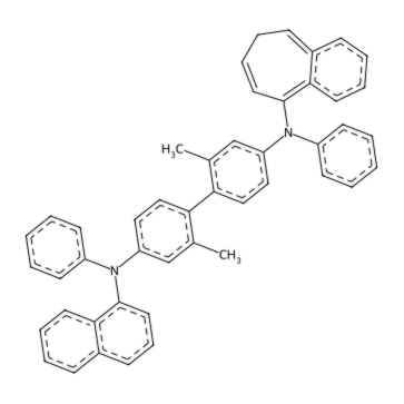 Cc1cc(N(C2=c3ccccc3=CCC=C2)c2ccccc2)ccc1-c1ccc(N(c2ccccc2)c2cccc3ccccc23)cc1C